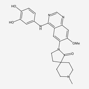 COc1cc2ncnc(Nc3ccc(O)c(O)c3)c2cc1N1CCC2(CCN(C)CC2)C1=O